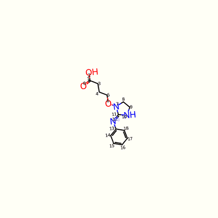 O=C(O)CCCON1CCN/C1=N\c1ccccc1